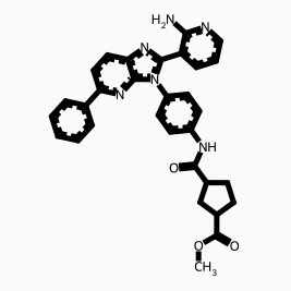 COC(=O)C1CCC(C(=O)Nc2ccc(-n3c(-c4cccnc4N)nc4ccc(-c5ccccc5)nc43)cc2)C1